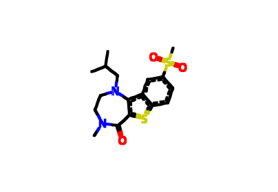 CC(C)CN1CCN(C)C(=O)c2sc3ccc(S(C)(=O)=O)cc3c21